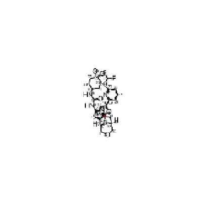 O=C(Nc1nc2c(s1)[C@@H]1COC[C@H](C2)N1c1ncc(-c2cccc(OC(F)F)n2)o1)NC1CCS(=O)(=O)CC1